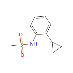 CS(=O)(=O)Nc1ccccc1[C]1CC1